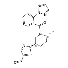 C[C@@H]1CC[C@@H](n2cc(C=O)cn2)CN1C(=O)c1ccccc1-n1nccn1